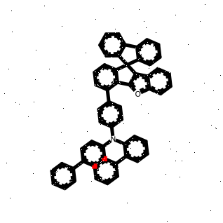 c1ccc(-c2ccc(N(c3ccc(-c4cccc5c4-c4oc6ccccc6c4C54c5ccccc5-c5ccccc54)cc3)c3ccccc3-c3ccccc3)cc2)cc1